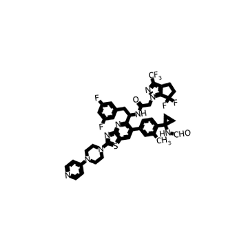 Cc1cc(-c2cc3sc(N4CCN(c5ccncc5)CC4)nc3nc2C(Cc2cc(F)cc(F)c2)NC(=O)Cn2nc(C(F)(F)F)c3c2C(F)(F)CC3)ccc1C1(NC=O)CC1